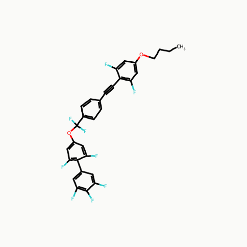 CCCCOc1cc(F)c(C#Cc2ccc(C(F)(F)Oc3cc(F)c(-c4cc(F)c(F)c(F)c4)c(F)c3)cc2)c(F)c1